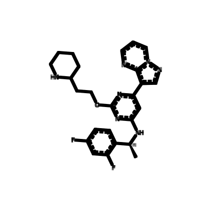 C[C@H](Nc1cc(-c2cnn3cccnc23)nc(OCCC2CCCCN2)n1)c1ccc(F)cc1F